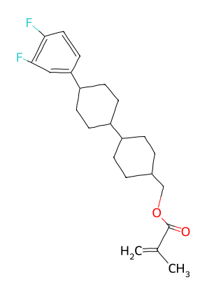 C=C(C)C(=O)OCC1CCC(C2CCC(c3ccc(F)c(F)c3)CC2)CC1